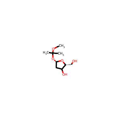 COC(C)(C)O[C@@H]1CC(O)[C@@H](CO)O1